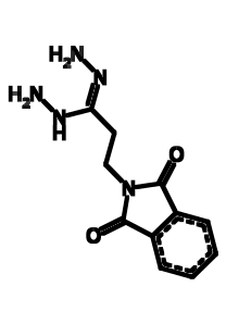 N/N=C(/CCN1C(=O)c2ccccc2C1=O)NN